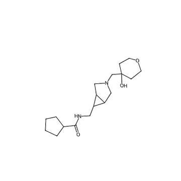 O=C(NCC1C2CN(CC3(O)CCOCC3)CC12)C1CCCC1